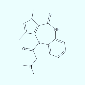 Cc1cn(C)c2c1N(C(=O)CN(C)C)c1ccccc1NC2=O